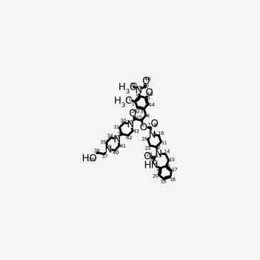 Cc1cc(CC(OC(=O)N2CCC(N3CCc4ccccc4NC3=O)CC2)C(=O)N2CCC(N3CCN(CCO)CC3)CC2)cc2oc(=O)n(C)c12